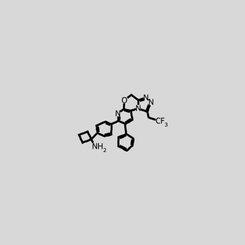 NC1(c2ccc(-c3nc4c(cc3-c3ccccc3)-n3c(nnc3CC(F)(F)F)CO4)cc2)CCC1